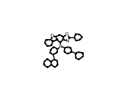 c1ccc(-c2ccc(N(c3cccc(-c4cccc5ccccc45)c3)c3c4nc(-c5ccccc5)oc4cc4oc5ccccc5c34)cc2)cc1